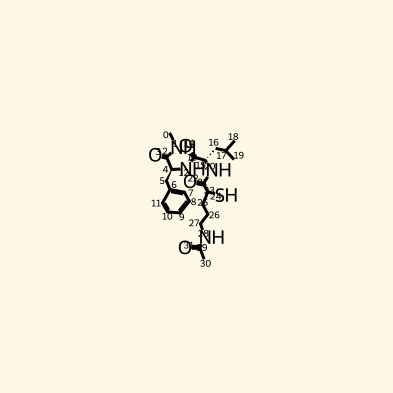 CNC(=O)[C@H](Cc1ccccc1)NC(=O)[C@H](CC(C)C)NC(=O)C(S)CCCNC(C)=O